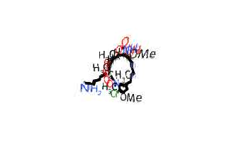 COc1cc2cc(c1Cl)N(C)C(=O)C[C@H](OC(=O)CCCCCN)[C@]1(C)O[C@H]1[C@H](C)[C@@H]1C[C@@](O)(NC(=O)O1)[C@H](OC)/C=C/C=C(\C)C2